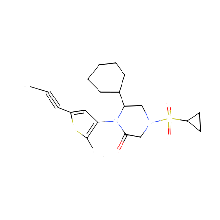 CC(C)(C)C#Cc1cc(N2C(=O)CN(S(=O)(=O)C3CC3)CC2C2CCCCC2)c(C(=O)O)s1